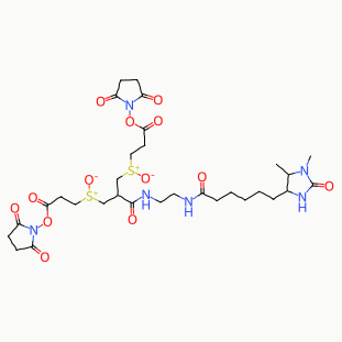 CC1C(CCCCCC(=O)NCCNC(=O)C(C[S+]([O-])CCC(=O)ON2C(=O)CCC2=O)C[S+]([O-])CCC(=O)ON2C(=O)CCC2=O)NC(=O)N1C